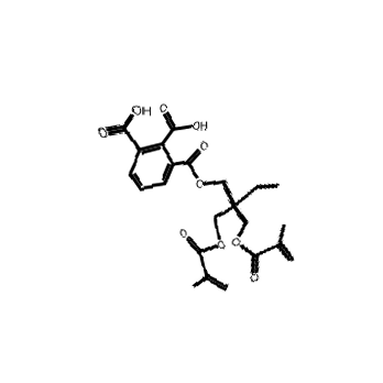 C=C(C)C(=O)OCC(CC)(COC(=O)C(=C)C)COC(=O)c1cccc(C(=O)O)c1C(=O)O